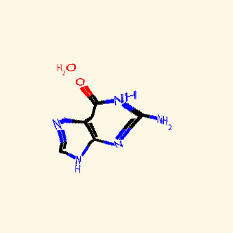 Nc1nc2[nH]cnc2c(=O)[nH]1.O